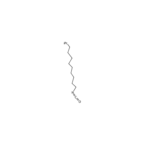 CC(C)CCCCCCCCCN=C=O